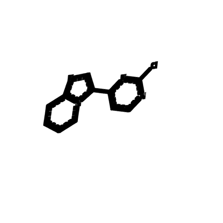 Clc1nccc(-c2cnc3ccccn23)n1